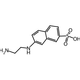 NCCNc1ccc2ccc(S(=O)(=O)O)cc2c1